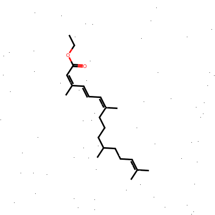 CCOC(=O)C=C(C)C=CC=C(C)CCCC(C)CCC=C(C)C